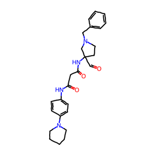 O=CC1(NC(=O)CC(=O)Nc2ccc(N3CCCCC3)cc2)CCN(Cc2ccccc2)C1